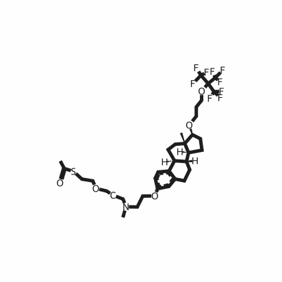 CC(=O)SCCOCCCN(C)CCOc1ccc2c(c1)CC[C@@H]1[C@@H]2CC[C@]2(C)[C@@H](OCCCOC(C(F)(F)F)(C(F)(F)F)C(F)(F)F)CC[C@@H]12